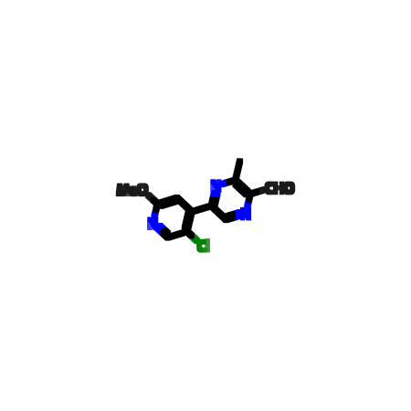 COc1cc(-c2cnc(C=O)c(C)n2)c(Cl)cn1